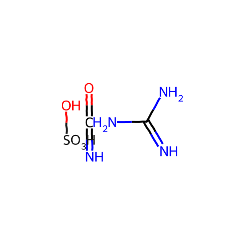 N=C(N)N.N=C=O.O=S(=O)(O)O